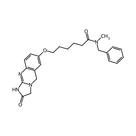 CN(Cc1ccccc1)C(=O)CCCCCOc1ccc2c(c1)CN1CC(=O)NC1=N2